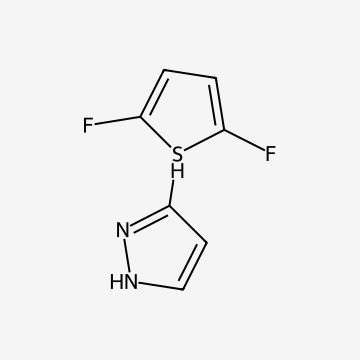 FC1=CC=C(F)[SH]1c1cc[nH]n1